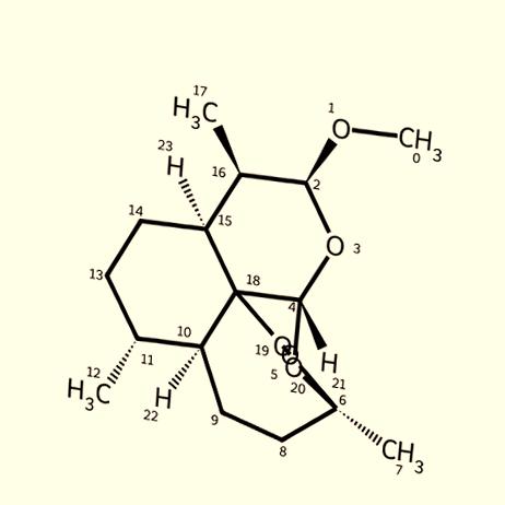 CO[C@H]1O[C@@H]2O[C@]3(C)CC[C@H]4[C@H](C)CC[C@@H]([C@H]1C)C24OO3